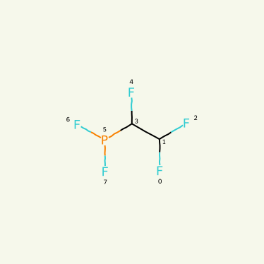 FC(F)C(F)P(F)F